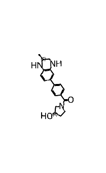 C[C@H]1CNc2cc(-c3ccc(C(=O)N4CC[C@@H](O)C4)cc3)ccc2N1